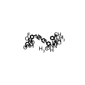 COc1cc(N2CCC(N3CCN(Cc4cc(F)c5c(c4)C(=O)N(C4CCC(=O)NC4=O)C5=O)CC3)CC2)ccc1Nc1ncc(Cl)c(Nc2ccccc2P(C)C)n1